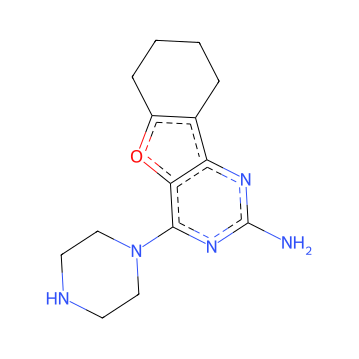 Nc1nc(N2CCNCC2)c2oc3c(c2n1)CCCC3